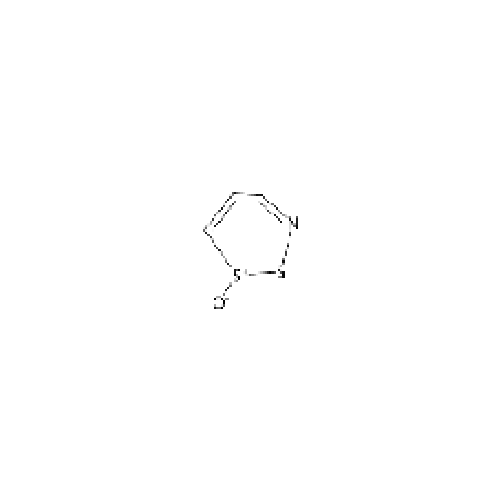 [O-][S+]1C=CC=NS1